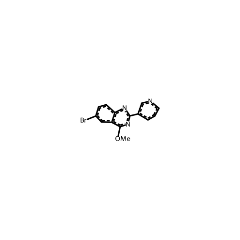 COc1nc(-c2cccnc2)nc2ccc(Br)cc12